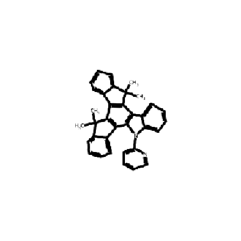 CC1(C)c2ccccc2-c2c1c1c(c3c4ccccc4n(-c4ccccn4)c23)C(C)(C)c2ccccc2-1